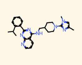 Cc1cn(C)c(N2CCC(CNc3nc(-c4ccccc4C(C)C)nc4ncccc34)CC2)n1